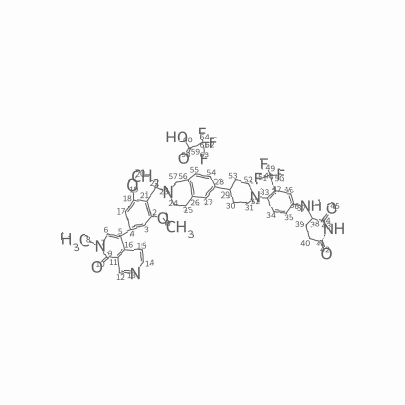 COc1cc(-c2cn(C)c(=O)c3cnccc23)cc(OC)c1CN1CCc2cc(C3CCN(c4ccc(NC5CCC(=O)NC5=O)cc4C(F)(F)F)CC3)ccc2C1.O=C(O)C(F)(F)F